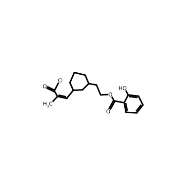 C/C(=C/C1CCCC(CCOC(=O)c2ccccc2O)C1)C(=O)Cl